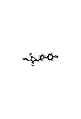 C=CCN1C(=O)C(=Cc2ccc(-c3ccc(Br)cc3)o2)SC1=S